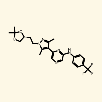 Cc1nn(CC[C@H]2COC(C)(C)O2)c(C)c1-c1cncc(Nc2ccc(C(F)(F)F)cc2)n1